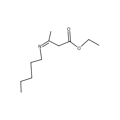 CCCCCN=C(C)CC(=O)OCC